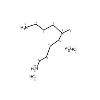 CN(CCCN)CCCCN.Cl.Cl.Cl